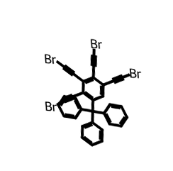 BrC#Cc1cc(C(c2ccccc2)(c2ccccc2)c2ccccc2)c(C#CBr)c(C#CBr)c1C#CBr